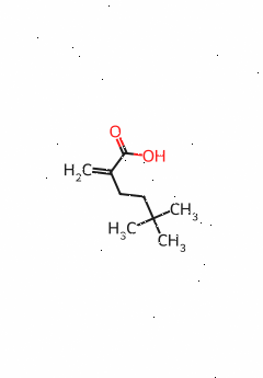 C=C(CCC(C)(C)C)C(=O)O